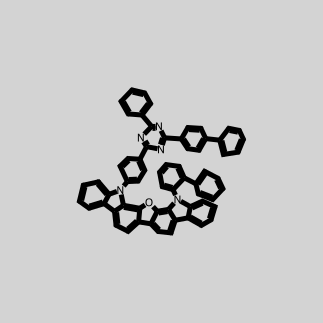 c1ccc(-c2ccc(-c3nc(-c4ccccc4)nc(-c4ccc(-n5c6ccccc6c6ccc7c8ccc9c%10ccccc%10n(-c%10ccccc%10-c%10ccccc%10)c9c8oc7c65)cc4)n3)cc2)cc1